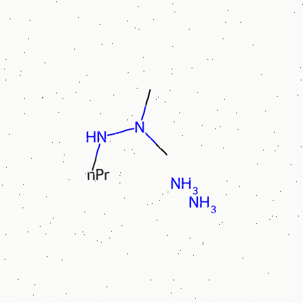 CCCNN(C)C.N.N